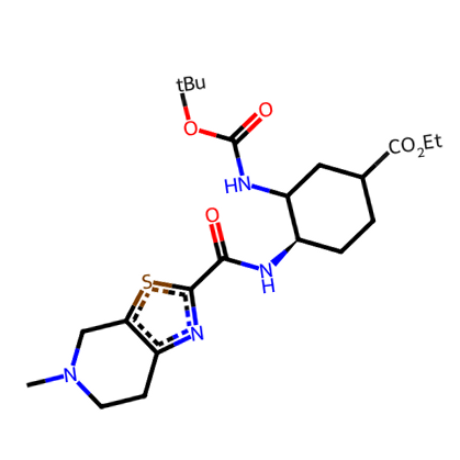 CCOC(=O)C1CC[C@@H](NC(=O)c2nc3c(s2)CN(C)CC3)C(NC(=O)OC(C)(C)C)C1